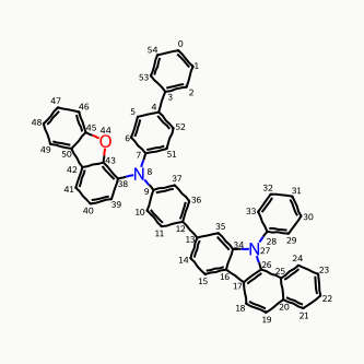 c1ccc(-c2ccc(N(c3ccc(-c4ccc5c6ccc7ccccc7c6n(-c6ccccc6)c5c4)cc3)c3cccc4c3oc3ccccc34)cc2)cc1